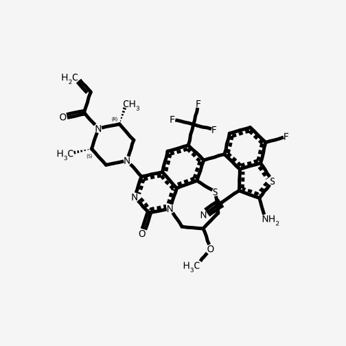 C=CC(=O)N1[C@H](C)CN(c2nc(=O)n3c4c(c(-c5ccc(F)c6sc(N)c(C#N)c56)c(C(F)(F)F)cc24)SCC(OC)C3)C[C@@H]1C